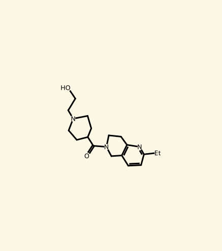 CCc1ccc2c(n1)CCN(C(=O)C1CCN(CCO)CC1)C2